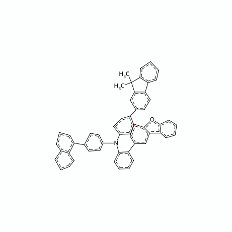 CC1(C)c2ccccc2-c2ccc(-c3ccc(N(c4ccc(-c5cccc6ccccc56)cc4)c4ccccc4-c4ccc5oc6ccccc6c5c4)cc3)cc21